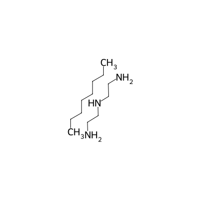 CCCCCCCC.NCCNCCN